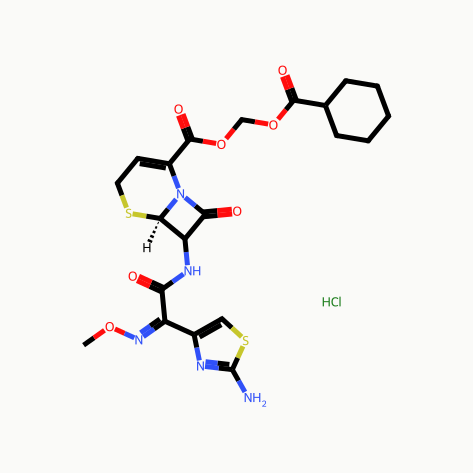 CO/N=C(\C(=O)NC1C(=O)N2C(C(=O)OCOC(=O)C3CCCCC3)=CCS[C@H]12)c1csc(N)n1.Cl